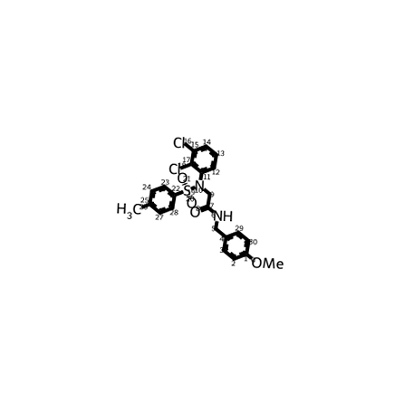 COc1ccc(CNC(=O)CN(c2cccc(Cl)c2Cl)S(=O)(=O)c2ccc(C)cc2)cc1